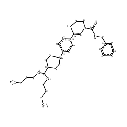 CCCCOC(OCCCC)C1CCN(c2ccc(C3=CN(C(=O)OCc4ccccc4)CCC3)nc2)CC1